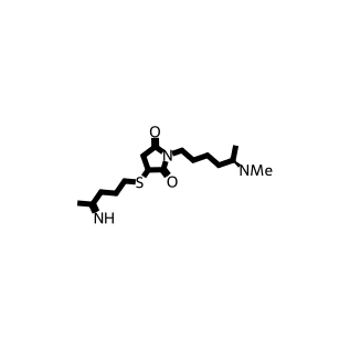 CN[C@H](C)CCCCN1C(=O)CC(SCCCC(C)=N)C1=O